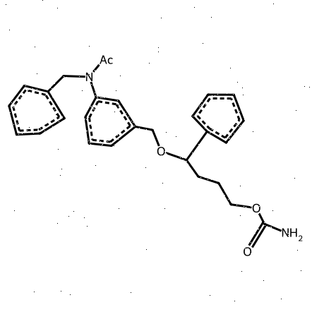 CC(=O)N(Cc1ccccc1)c1cccc(COC(CCCOC(N)=O)c2ccccc2)c1